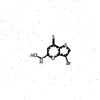 ONc1cc(=S)c2scc(Br)c2o1